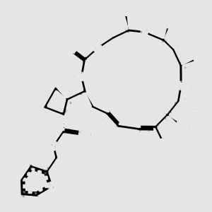 C=C1C[C@H](O)[C@@H](C)C[C@@H](C)C[C@@H](C)C[C@H](C)[C@@H](O)/C(C)=C\C=C\C[C@@H]([C@@H]2CC[C@H]2C(=O)NCc2ccccn2)O1